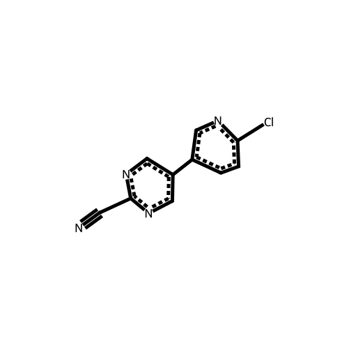 N#Cc1ncc(-c2ccc(Cl)nc2)cn1